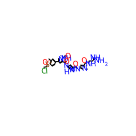 Cc1cc(C2=C[N+](C)(NC=O)C(C(=O)Nc3cc(C(=O)Nc4cc(C(=O)NCCC(=N)N)n(C)c4)n(C)c3)=C2)ccc1[S+]([O-])CCCl